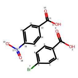 O=C(O)c1ccc(Br)cc1.O=C(O)c1ccc([N+](=O)[O-])cc1